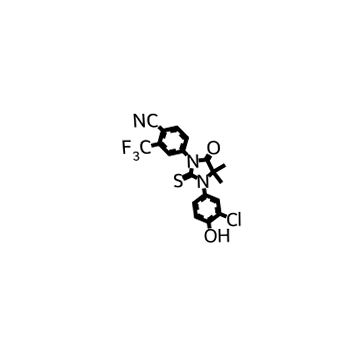 CC1(C)C(=O)N(c2ccc(C#N)c(C(F)(F)F)c2)C(=S)N1c1ccc(O)c(Cl)c1